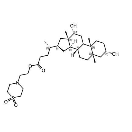 C[C@@H](CCC(=O)OCCN1CCS(=O)(=O)CC1)[C@@H]1C[C@@H]2[C@H]3CC[C@@]4(C)C[C@@H](O)CC[C@@]4(C)C3C[C@@H](O)[C@@]2(C)C1